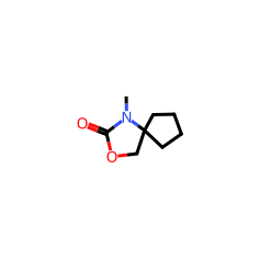 CN1C(=O)OCC12CCCC2